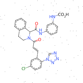 O=C(O)Nc1cccc(NC(=O)C2c3ccccc3CCN2C(=O)/C=C/c2cc(Cl)ccc2-n2cnnn2)c1